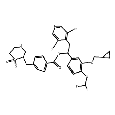 O=C(OC(Cc1c(Cl)cncc1Cl)c1ccc(OC(F)F)c(OCC2CC2)c1)c1ccc(CC2CNCCS2(=O)=O)cc1